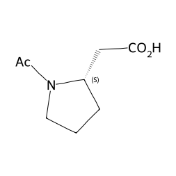 CC(=O)N1CCC[C@H]1CC(=O)O